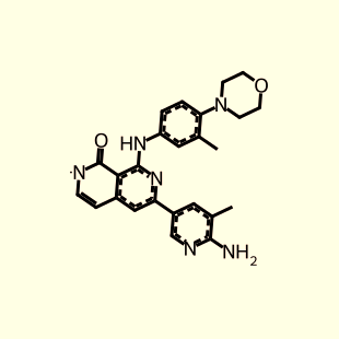 Cc1cc(Nc2nc(-c3cnc(N)c(C)c3)cc3c2C(=O)[N]C=C3)ccc1N1CCOCC1